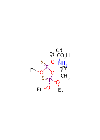 CCCC.CCOP(=S)(OCC)OP(=S)(OCC)OCC.NC(=O)O.[Cd]